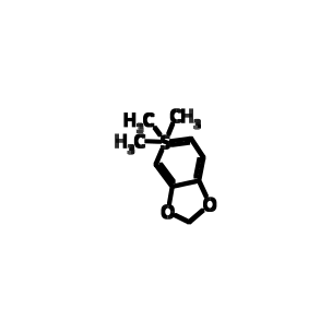 CS1(C)(C)=CC=C2OCOC2=C1